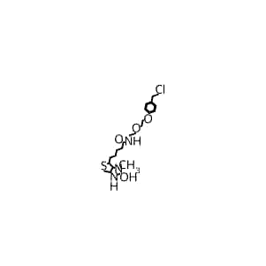 CN1C(O)NC2CSC(CCCCC(=O)NCCOCCOc3ccc(CCCl)cc3)C21